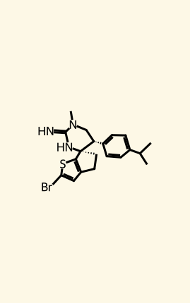 CC(C)c1ccc([C@H]2CN(C)C(=N)N[C@@]23CCc2cc(Br)sc23)cc1